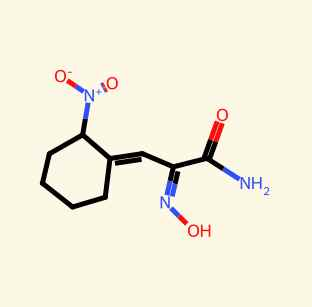 NC(=O)C(C=C1CCCCC1[N+](=O)[O-])=NO